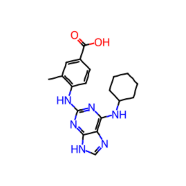 Cc1cc(C(=O)O)ccc1Nc1nc(NC2CCCCC2)c2nc[nH]c2n1